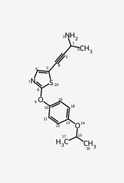 CC(N)C#Cc1cnc(Oc2ccc(OC(C)C)cc2)s1